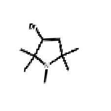 CN1C(C)(C)CC(Br)C1(C)C